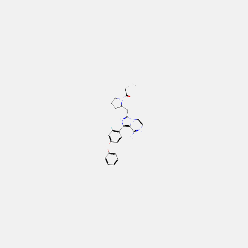 N#CCC(=O)N1CCCC1Cc1nc(-c2ccc(Oc3ccccc3)cc2F)c2c(N)nccn12